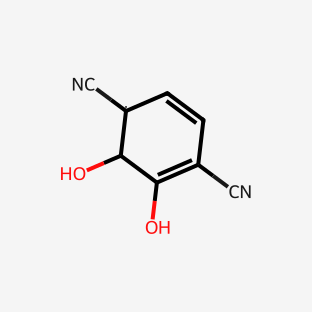 N#C[C]1C=CC(C#N)=C(O)C1O